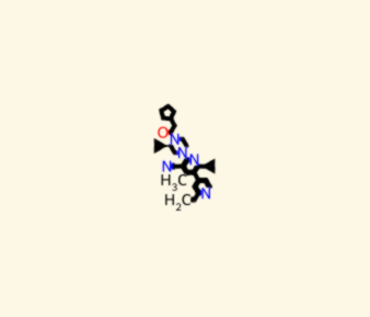 C=Cc1cc(-c2c(C3CC3)nc(N3CCN(C(=O)CC4CCCC4)[C@H](C4CC4)C3)c(C#N)c2C)ccn1